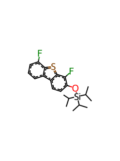 CC(C)[Si](Oc1ccc2c(sc3c(F)cccc32)c1F)(C(C)C)C(C)C